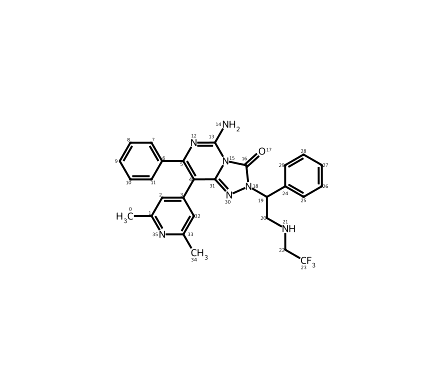 Cc1cc(-c2c(-c3ccccc3)nc(N)n3c(=O)n(C(CNCC(F)(F)F)c4ccccc4)nc23)cc(C)n1